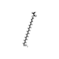 C=C(C)C(=O)OCCCCCCCCCCCCCCCCCCN